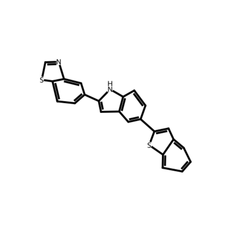 c1ccc2sc(-c3ccc4[nH]c(-c5ccc6scnc6c5)cc4c3)cc2c1